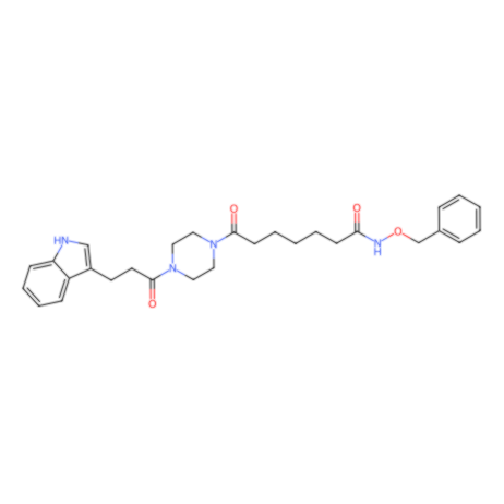 O=C(CCCCCC(=O)N1CCN(C(=O)CCc2c[nH]c3ccccc23)CC1)NOCc1ccccc1